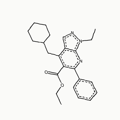 CCOC(=O)c1c(-c2ccccc2)nc2c(cnn2CC)c1CC1CCCCC1